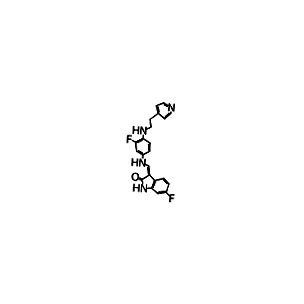 O=C1Nc2cc(F)ccc2C1=CNc1ccc(NCCc2ccncc2)c(F)c1